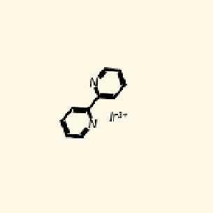 [Ir+3].c1ccc(-c2ccccn2)nc1